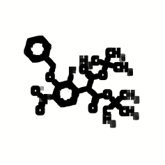 CC(C)(C)OC(=O)C(C(=O)OC(C)(C)C)c1ccc([N+](=O)[O-])c(OCc2ccccc2)c1F